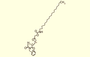 CCCCCCCCCCCCCCCCCCNC(=O)OC[C@H]1C[C@@H](COC(=O)N(Cc2ccccn2)C(C)=O)O1